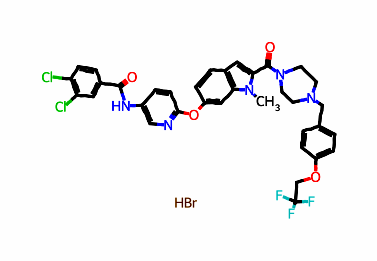 Br.Cn1c(C(=O)N2CCN(Cc3ccc(OCC(F)(F)F)cc3)CC2)cc2ccc(Oc3ccc(NC(=O)c4ccc(Cl)c(Cl)c4)cn3)cc21